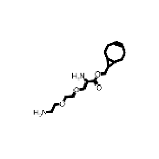 NCCOCCOCC(N)C(=O)OCC1C2CCC#CCCC21